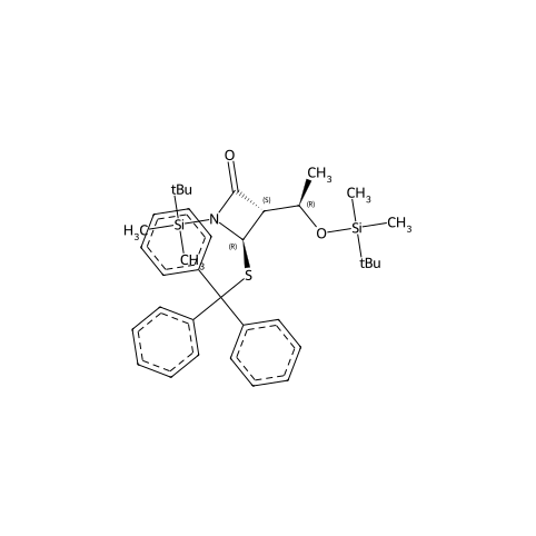 C[C@@H](O[Si](C)(C)C(C)(C)C)[C@H]1C(=O)N([Si](C)(C)C(C)(C)C)[C@@H]1SC(c1ccccc1)(c1ccccc1)c1ccccc1